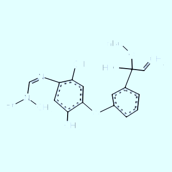 C=CC(C)(OCCCC)c1cccc(Oc2cc(C)c(/N=C\N(C)CC)cc2C)c1